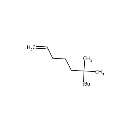 C=CCCCC(C)(C)C(C)(C)C